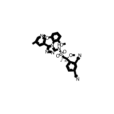 COc1cccc(OC)c1-n1c(NS(=O)(=O)[C@@H](C)[C@H](OC)c2ccc(C#N)cc2C#N)nnc1-c1cncc(C)c1